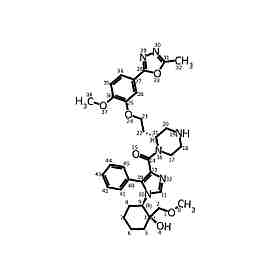 COC[C@]1(O)CCCC[C@H]1n1cnc(C(=O)N2CCNC[C@H]2CCOc2cc(-c3nnc(C)o3)ccc2OC)c1-c1ccccc1